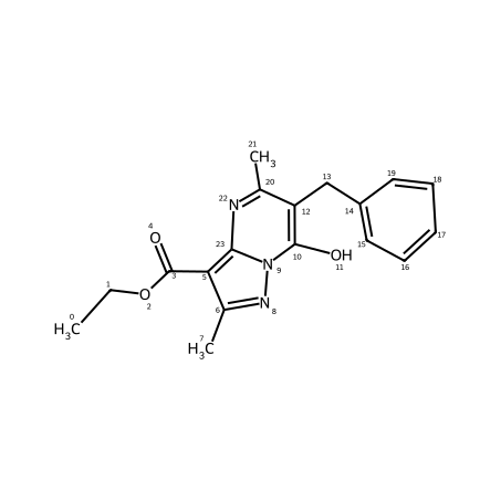 CCOC(=O)c1c(C)nn2c(O)c(Cc3ccccc3)c(C)nc12